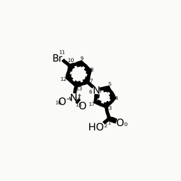 O=C(O)c1ccn(-c2ccc(Br)cc2[N+](=O)[O-])c1